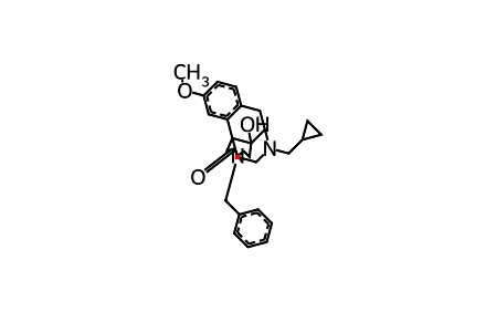 COc1ccc2c(c1)C13CCN(CC4CC4)C(C2)C1(O)CCN(Cc1ccccc1)C(=O)C3